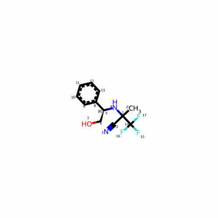 CC(C#N)(N[C@@H](CO)c1ccccc1)C(F)(F)F